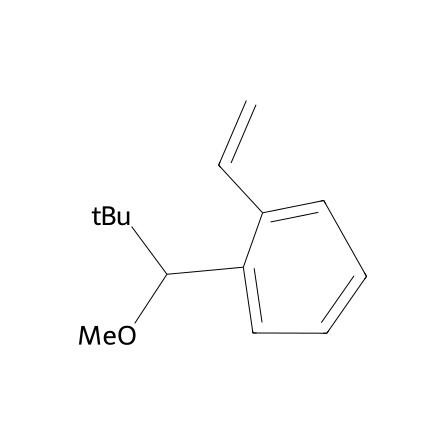 C=Cc1ccccc1C(OC)C(C)(C)C